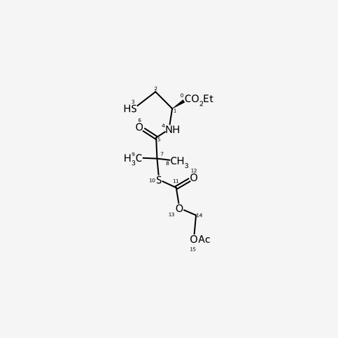 CCOC(=O)[C@H](CS)NC(=O)C(C)(C)SC(=O)OCOC(C)=O